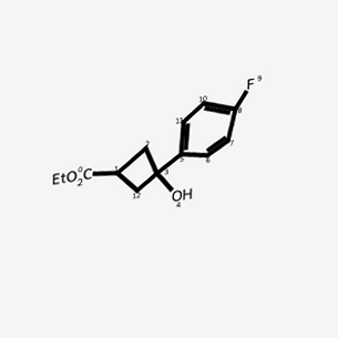 CCOC(=O)C1CC(O)(c2ccc(F)cc2)C1